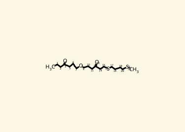 CCCC(=O)CCCOCCCC(=O)CCSCCCCSC